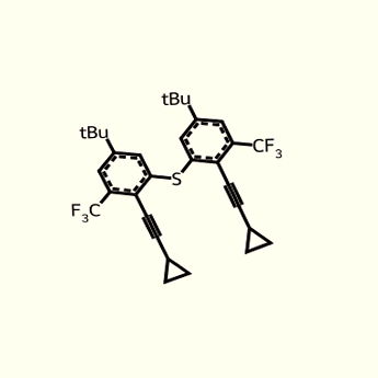 CC(C)(C)c1cc(Sc2cc(C(C)(C)C)cc(C(F)(F)F)c2C#CC2CC2)c(C#CC2CC2)c(C(F)(F)F)c1